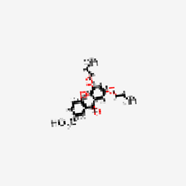 CC(C)CCOc1cc(OCCC(C)C)c2oc3ccc(C(=O)O)cc3c(=O)c2c1